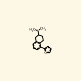 CN(C)C1CCc2c(cccc2-c2ccco2)C1